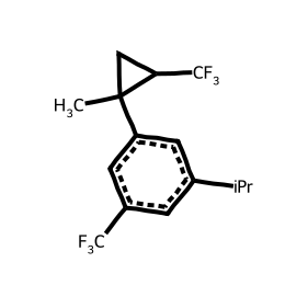 CC(C)c1cc(C(F)(F)F)cc(C2(C)CC2C(F)(F)F)c1